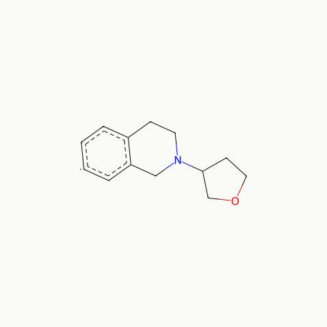 [c]1ccc2c(c1)CN(C1CCOC1)CC2